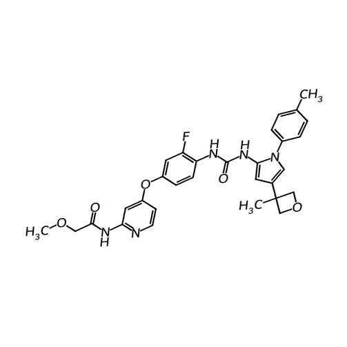 COCC(=O)Nc1cc(Oc2ccc(NC(=O)Nc3cc(C4(C)COC4)cn3-c3ccc(C)cc3)c(F)c2)ccn1